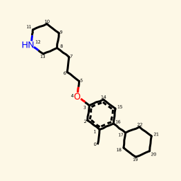 Cc1cc(OCCCC2CCCNC2)ccc1C1CCCCC1